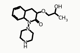 CC(O)COC1CC2C=CC=CC2N(N2CCNCC2)C1=O